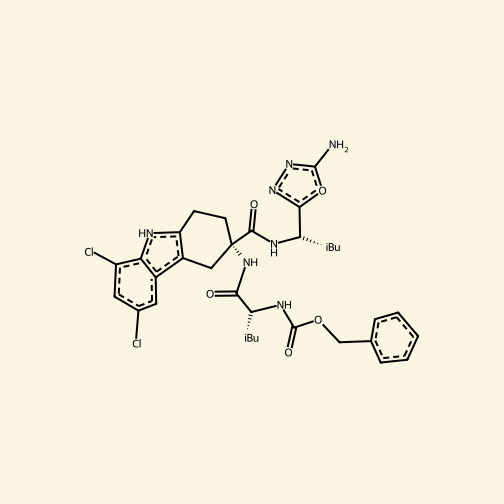 CC[C@@H](C)C(NC(=O)[C@]1(NC(=O)C(NC(=O)OCc2ccccc2)[C@@H](C)CC)CCc2[nH]c3c(Cl)cc(Cl)cc3c2C1)c1nnc(N)o1